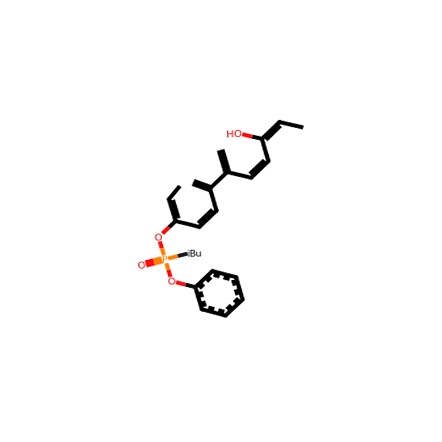 C=C(/C=C\C(O)=C/C)C(=C)/C=C\C(=C/C)OP(=O)(Oc1ccccc1)C(C)CC